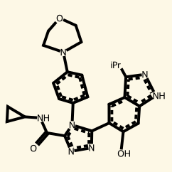 CC(C)c1n[nH]c2cc(O)c(-c3nnc(C(=O)NC4CC4)n3-c3ccc(N4CCOCC4)cc3)cc12